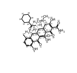 C[C@H]1c2c(I)ccc(O)c2C(=O)C2=C(O)[C@]3(O)C(=O)C(C(N)=O)=C(O)[C@@H](N(C)C)[C@@H]3[C@@H](CC(=O)C3CCCCC3)[C@@H]21